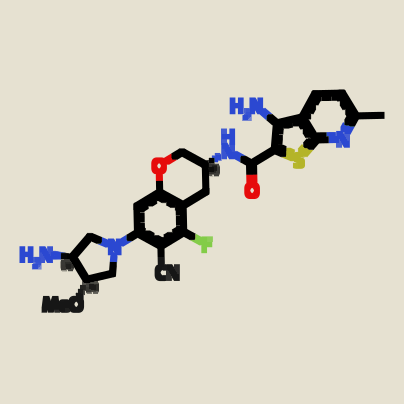 CO[C@H]1CN(c2cc3c(c(F)c2C#N)C[C@@H](NC(=O)c2sc4nc(C)ccc4c2N)CO3)C[C@@H]1N